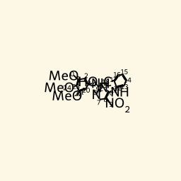 COc1cc(Nc2ncc([N+](=O)[O-])c(Nc3ccccc3C(=O)O)n2)cc(OC)c1OC